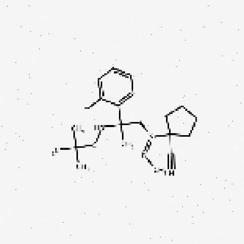 C/N=[S@@](/CC(C)(NSC(C)(C)C)c1ccccc1F)C1(C#N)CCCC1